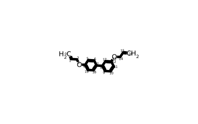 C=CCOc1ccc(-c2cccc(OCC=C)c2)cc1